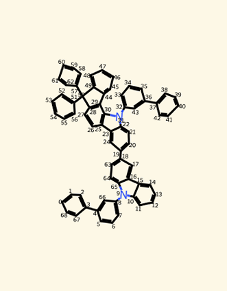 c1ccc(-c2cccc(-n3c4ccccc4c4cc(-c5ccc6c(c5)c5ccc7c(c5n6-c5cccc(-c6ccccc6)c5)-c5ccccc5C7(c5ccccc5)c5ccccc5)ccc43)c2)cc1